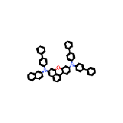 C1=CC2c3cccc4cc(N(c5ccc(-c6ccccc6)cc5)c5ccc6ccccc6c5)cc(c34)OC2C=C1N(c1ccc(-c2ccccc2)cc1)c1ccc(-c2ccccc2)cc1